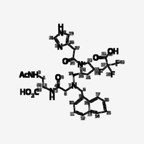 CC(=O)NC[C@H](NC(=O)CN(Cc1cccc2ccccc12)C[C@@H]1CCCN1C(=O)Cc1c[nH]cn1)C(=O)O.O=C(O)C(F)(F)F